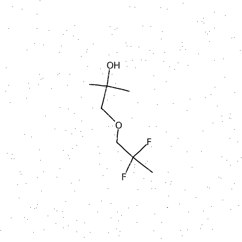 CC(C)(O)COCC(C)(F)F